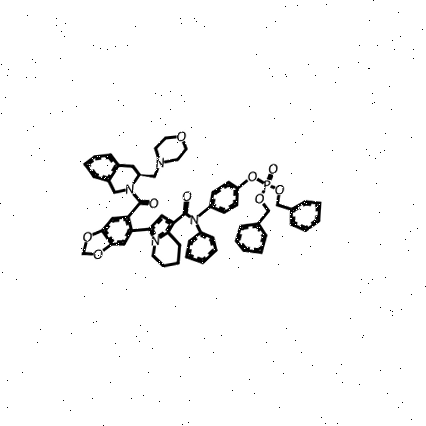 O=C(c1cc(-c2cc3c(cc2C(=O)N2Cc4ccccc4C[C@H]2CN2CCOCC2)OCO3)n2c1CCCC2)N(c1ccccc1)c1ccc(OP(=O)(OCc2ccccc2)OCc2ccccc2)cc1